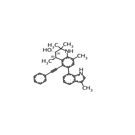 Cc1cc(-c2cccc3c(C)c[nH]c23)c(C#Cc2ccccc2)c2c1NC(C)(C)[C@@H](O)[C@@H]2C